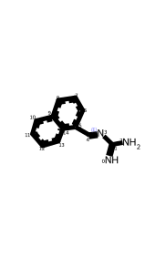 N=C(N)/N=C/c1cccc2ccccc12